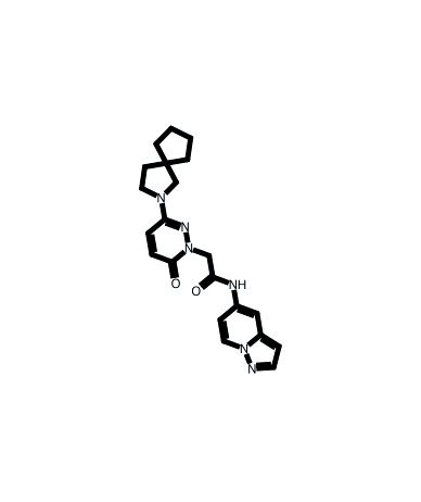 O=C(Cn1nc(N2CCC3(CCCC3)C2)ccc1=O)Nc1ccn2nccc2c1